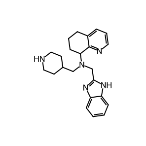 c1cnc2c(c1)CCCC2N(Cc1nc2ccccc2[nH]1)CC1CCNCC1